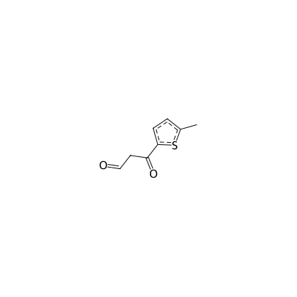 Cc1ccc(C(=O)CC=O)s1